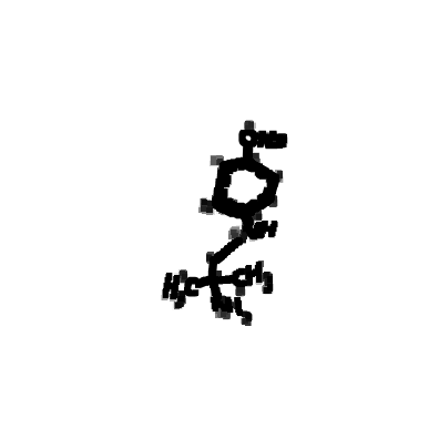 COc1ccc(NCC(C)(C)N)cc1